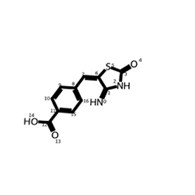 N=C1NC(=O)SC1=Cc1ccc(C(=O)O)cc1